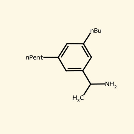 CCCCCc1cc(CCCC)cc(C(C)N)c1